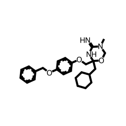 CN1COC(COc2ccc(OCc3ccccc3)cc2)(CC2CCCCC2)NC1=N